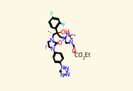 CCOC(=O)OCN1[C+]=NN(C[C@@](O)(c2ccc(F)cc2F)[C@@H](C)N2CCN(c3ccc(-n4cnnn4)cc3)C2=O)C1.[I-]